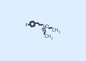 CCCO[SiH](CCCc1ccc(F)cc1)OCCC